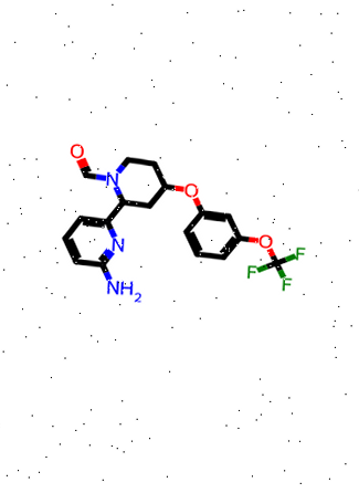 Nc1cccc(C2CC(Oc3cccc(OC(F)(F)F)c3)CCN2C=O)n1